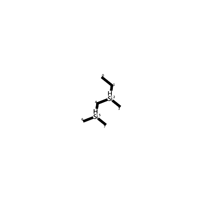 CC[SiH](C)C[SiH](C)C